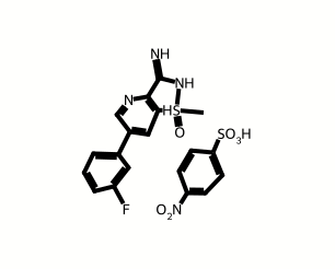 C[SH]1(=O)NC(=N)c2ncc(-c3cccc(F)c3)cc21.O=[N+]([O-])c1ccc(S(=O)(=O)O)cc1